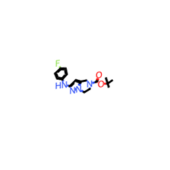 CC(C)(C)OC(=O)N1CCn2nc(Nc3ccc(F)cc3)cc2C1